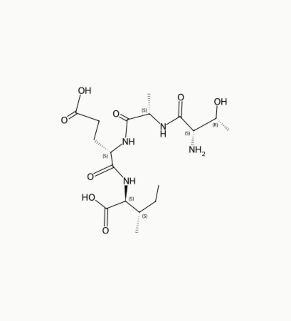 CC[C@H](C)[C@H](NC(=O)[C@H](CCC(=O)O)NC(=O)[C@H](C)NC(=O)[C@@H](N)[C@@H](C)O)C(=O)O